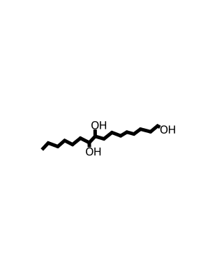 CCCCCCC(O)C(O)CCCCCCCCO